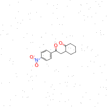 O=C(CC1CCCCC1=O)c1ccc([N+](=O)[O-])cc1